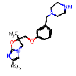 CC1(COc2cccc(CN3CCNCC3)c2)Cn2cc([N+](=O)[O-])nc2O1